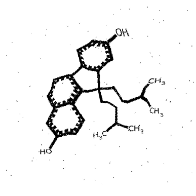 CC(C)CCC1(CCC(C)C)c2cc(O)ccc2-c2ccc3cc(O)ccc3c21